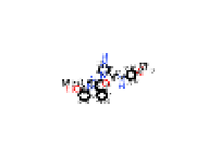 COC[C@]1(O)CCCC[C@H]1n1cnc(C(=O)N2CCNC[C@H]2CCNc2ccc(OC(F)(F)F)cc2)c1-c1ccccc1